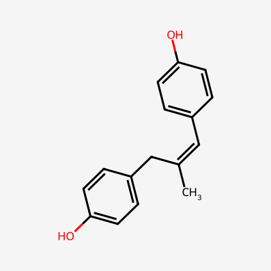 CC(=Cc1ccc(O)cc1)Cc1ccc(O)cc1